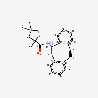 CC(C)(C)CC(C)(C)C(=O)NC1Cc2ccccc2C#Cc2ccccc21